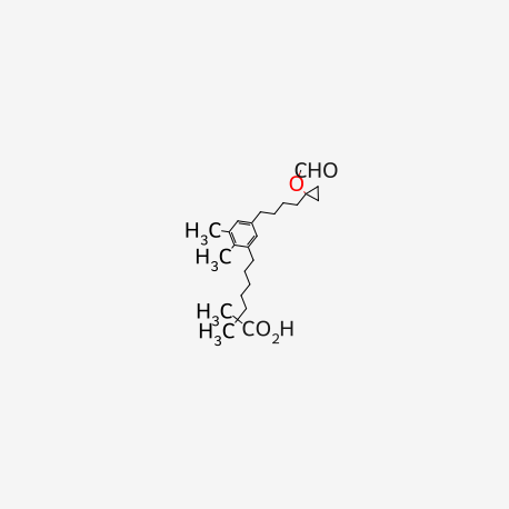 Cc1cc(CCCCC2(OC=O)CC2)cc(CCCCCC(C)(C)C(=O)O)c1C